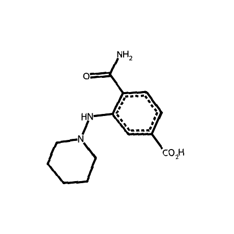 NC(=O)c1ccc(C(=O)O)cc1NN1CCCCC1